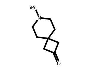 CC(C)N1CCC2(CC1)CC(=O)C2